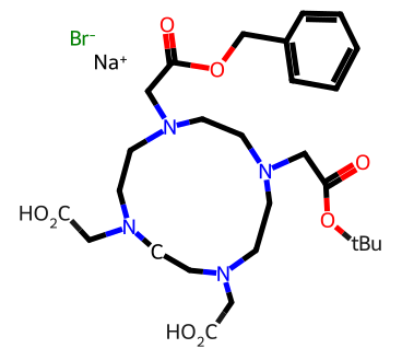 CC(C)(C)OC(=O)CN1CCN(CC(=O)O)CCN(CC(=O)O)CCN(CC(=O)OCc2ccccc2)CC1.[Br-].[Na+]